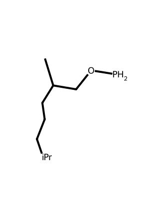 CC(C)CCCC(C)COP